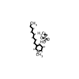 CCCCCCCCC1CCCN(C)C1.COS(=O)(=O)O